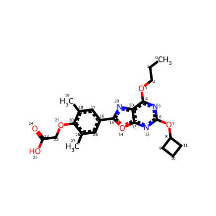 CCCOc1nc(OC2CCC2)nc2oc(-c3cc(C)c(OCC(=O)O)c(C)c3)nc12